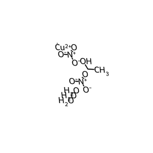 CCO.O.O.O.O=[N+]([O-])[O-].O=[N+]([O-])[O-].[Cu+2]